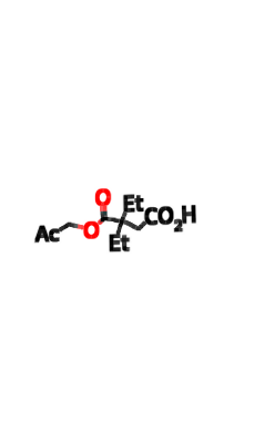 CCC(CC)(CC(=O)O)C(=O)OCC(C)=O